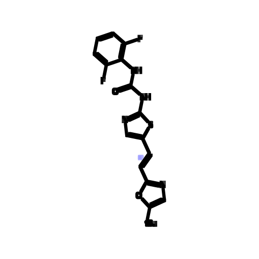 CC(C)(C)c1cnc(/C=C/c2cnc(NC(=O)Nc3c(F)cccc3F)s2)o1